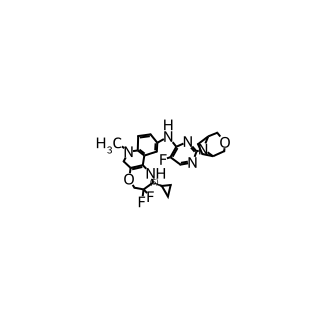 CN1CC2=C(N[C@@H](C3CC3)C(F)(F)CO2)c2cc(Nc3nc(N4C5CCC4COC5)ncc3F)ccc21